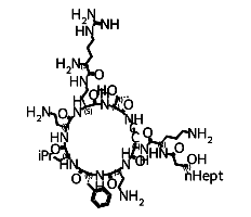 CCCCCCC[C@@H](O)CC(=O)N[C@H](CCCN)C(=O)N[C@H]1CCNC(=O)[C@H]([C@@H](C)O)NC(=O)[C@H](CCNC(=O)[C@@H](N)CCCNC(=N)N)NC(=O)[C@H](CCN)NC(=O)[C@H](CC(C)C)NC(=O)[C@@H](Cc2ccccc2)NC(=O)[C@H](CCN)NC1=O